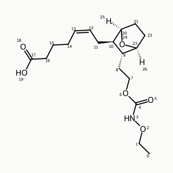 CCONC(=O)OCC[C@@H]1[C@@H](C/C=C\CCCC(=O)O)[C@H]2CC[C@@H]1O2